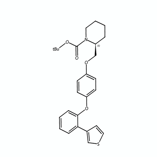 CC(C)(C)OC(=O)N1CCCC[C@H]1COc1ccc(Oc2ccccc2-c2ccsc2)cc1